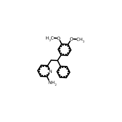 COc1ccc(C(Cc2cccc(N)n2)c2ccccc2)cc1OC